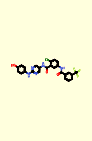 O=C(Nc1ccc(Cl)c(C(=O)Nc2cnc(Nc3ccc(O)cc3)nc2)c1)c1cccc(C(F)(F)F)c1